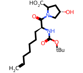 C=CCCCCC[C@H](NC(=O)OC(C)(C)C)C(=O)N1C[C@@H](O)CC1C(=O)O